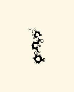 CC1CCN(C(=O)c2cccc(COc3cccc(F)c3)n2)CC1